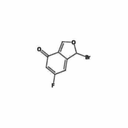 O=C1C=C(F)C=C2C1=COC2Br